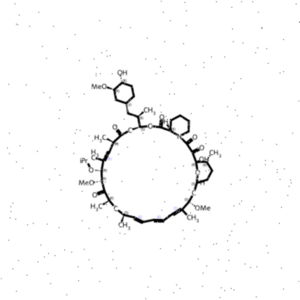 CO[C@H]1C[C@@H]2CC[C@@H](C)[C@@](O)(O2)C(=O)C(=O)N2CCCC[C@H]2C(=O)O[C@H]([C@H](C)C[C@@H]2CC[C@@H](O)[C@H](OC)C2)CC(=O)[C@H](C)/C=C(\C)[C@@H](OC(C)C)[C@@H](OC)C(=O)[C@H](C)C[C@H](C)/C=C/C=C/C=C/1C